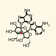 N=C1N=CN=C2C1=NCN2[C@]1(O[C@@]2(n3cnc4c(N)ncnc43)O[C@H](CO)[C@@H](O)[C@H]2O)O[C@H](CO)[C@@H](O)[C@H]1O